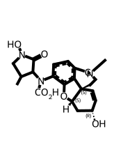 CC1CN(O)C(=O)C1N(C(=O)O)c1ccc2c3c1O[C@H]1C[C@@H](O)C=C[C@@]31CCN(C)C2